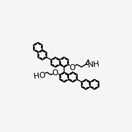 OCCOc1ccc2cc(-c3ccc4ccccc4c3)ccc2c1-c1c(OCCC2CN2)ccc2cc(-c3ccc4ccccc4c3)ccc12